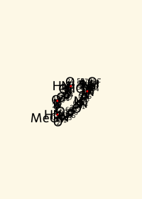 COC(=O)C1(NC(=O)CC2CN(C(=O)COc3cccc(N4CCC(=O)NC4=O)c3)C2)CCN(Cc2ccc(COc3cnc(C4CCN(c5nc6c(c(NC7(CO)CCC7)n5)[S@+]([O-])CC6)CC4)nc3)cc2)CC1